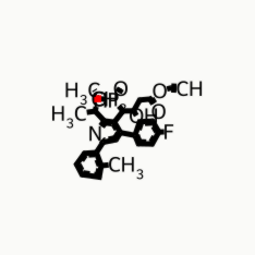 C#COC(=O)CC(O)C(c1c(-c2ccc(F)cc2)cc(-c2ccccc2C)nc1C(C)C)[PH](=O)OC